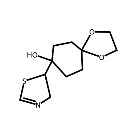 OC1(C2CN=CS2)CCC2(CC1)OCCO2